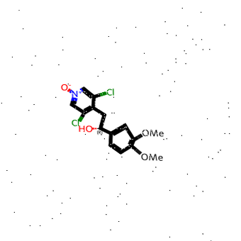 COc1ccc([C@H](O)Cc2c(Cl)c[n+]([O-])cc2Cl)cc1OC